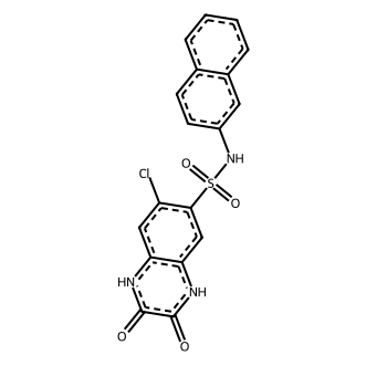 O=c1[nH]c2cc(Cl)c(S(=O)(=O)Nc3ccc4ccccc4c3)cc2[nH]c1=O